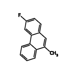 Cc1cc2ccc(F)cc2c2ccccc12